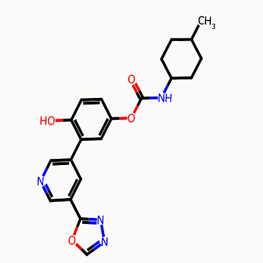 CC1CCC(NC(=O)Oc2ccc(O)c(-c3cncc(-c4nnco4)c3)c2)CC1